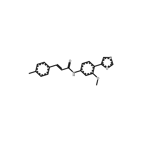 COc1cc(NC(=O)C=Cc2ccc(C)cc2)ccc1-c1cnco1